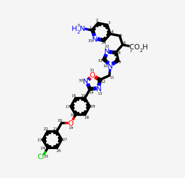 Nc1ccc(CC(C(=O)O)c2cn(Cc3nc(-c4ccc(OCc5ccc(Cl)cc5)cc4)no3)cn2)cn1